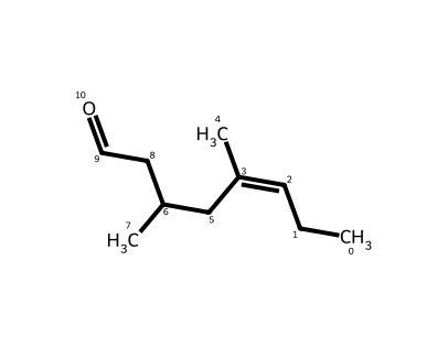 CCC=C(C)CC(C)CC=O